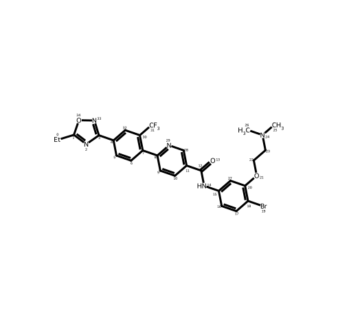 CCc1nc(-c2ccc(-c3ccc(C(=O)Nc4ccc(Br)c(OCCN(C)C)c4)cn3)c(C(F)(F)F)c2)no1